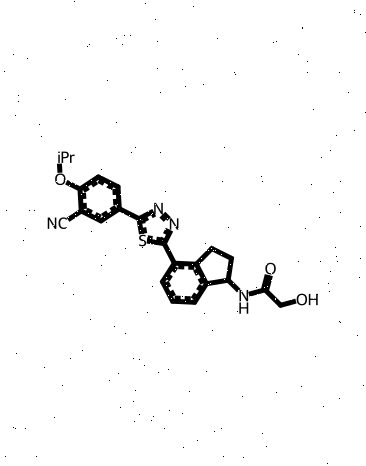 CC(C)Oc1ccc(-c2nnc(-c3cccc4c3CCC4NC(=O)CO)s2)cc1C#N